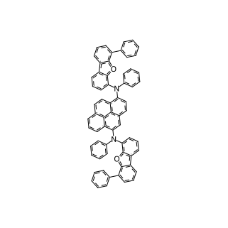 c1ccc(-c2cccc3c2oc2c(N(c4ccccc4)c4cc5ccc(N(c6ccccc6)c6cccc7c6oc6c(-c8ccccc8)cccc67)c6ccc7cccc4c7c56)cccc23)cc1